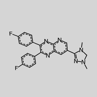 CN1CN(C)C(c2cnc3nc(-c4ccc(F)cc4)c(-c4ccc(F)cc4)nc3c2)=N1